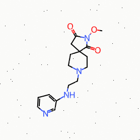 CON1C(=O)CC2(CCN(CCNc3cccnc3)CC2)C1=O